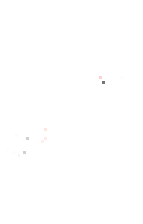 O=C(CCCCCCN1C(=O)c2ccccc2S1(=O)=O)NO